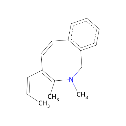 C/C=C\C1=C(C)N(C)Cc2ccccc2/C=C\1